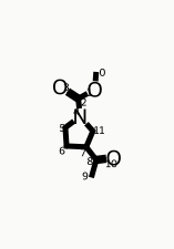 COC(=O)N1CCC(C(C)=O)C1